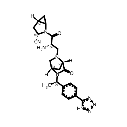 C[C@H](c1ccc(-c2nnn[nH]2)cc1)N1C(=O)[C@@H]2C[C@H]1CN2C[C@H](N)C(=O)N1C2C[C@H]2C[C@H]1C#N